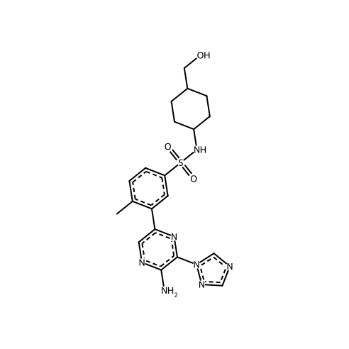 Cc1ccc(S(=O)(=O)NC2CCC(CO)CC2)cc1-c1cnc(N)c(-n2cncn2)n1